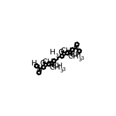 CC1(C)c2cc(/C=C/c3ccc4c(c3)C(C)(C)c3cc5c(cc3-4)C(C)(C)c3cc(N(c4ccccc4)c4ccccc4)ccc3-5)ccc2-c2cc3c(cc21)-c1ccc(N(c2ccccc2)c2ccccc2)cc1C3(C)C